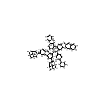 c1ccc(-c2ccc(N3B4c5c(cc6c(oc7ccccc76)c5-c5cc6sc7cc8ccccc8cc7c6cc53)-n3c5ccc(C67CC8CC9CC(C6)C98C7)cc5c5cc(C67CC8CC9CC(C6)C98C7)cc4c53)cc2)cc1